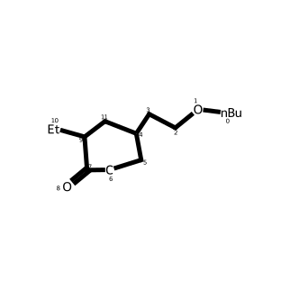 CCCCOCCC1CCC(=O)C(CC)C1